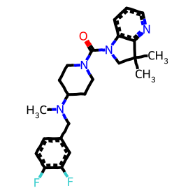 CN(Cc1ccc(F)c(F)c1)C1CCN(C(=O)N2CC(C)(C)c3ncccc32)CC1